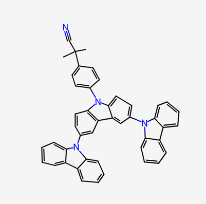 CC(C)(C#N)c1ccc(-n2c3ccc(-n4c5ccccc5c5ccccc54)cc3c3cc(-n4c5ccccc5c5ccccc54)ccc32)cc1